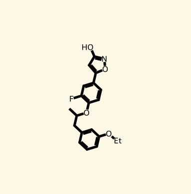 CCOc1cccc(CC(C)Oc2ccc(-c3cc(O)no3)cc2F)c1